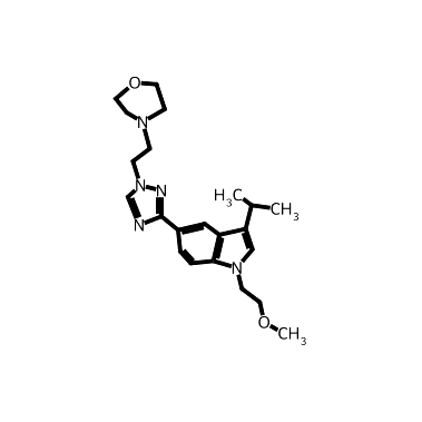 COCCn1cc(C(C)C)c2cc(-c3ncn(CCN4CCOCC4)n3)ccc21